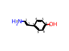 NC=Cc1ccc(O)cc1